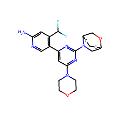 Nc1cc(C(F)F)c(-c2cc(N3CCOCC3)nc(N3CC4CCCC3CO4)n2)cn1